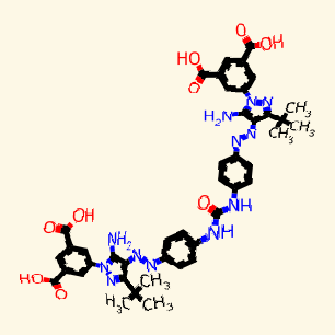 CC(C)(C)c1nn(-c2cc(C(=O)O)cc(C(=O)O)c2)c(N)c1N=Nc1ccc(NC(=O)Nc2ccc(N=Nc3c(C(C)(C)C)nn(-c4cc(C(=O)O)cc(C(=O)O)c4)c3N)cc2)cc1